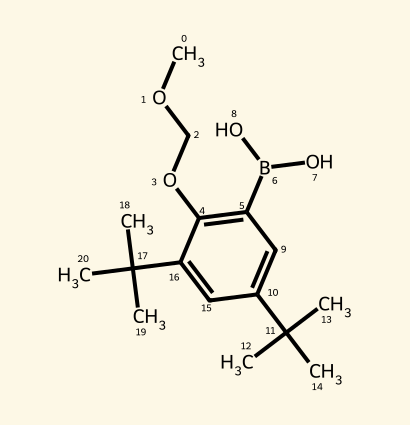 COCOc1c(B(O)O)cc(C(C)(C)C)cc1C(C)(C)C